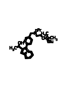 CCCN(CCO[Si](C)(C)C(C)(C)C)Cc1ccc(-c2c(C(C)O)cc3ccccn23)nc1